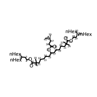 CCCCCCC(CCCCCC)CCOC(=O)C(C)(C)CCCCCC(CCCCCC(C)(C)C(=O)OCCN(CCCCCC)CCCCCC)OC(=O)CCN(C)C